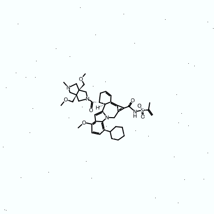 C=C(C)S(=O)(=O)NC(=O)C1=C2Cn3c(cc4c(OC)ccc(C5CCCCC5)c43)[C@@H]3C(=C21)C=CC[C@H]3C(=O)N1C[C@]2(COC)CN(C)C[C@]2(COC)C1